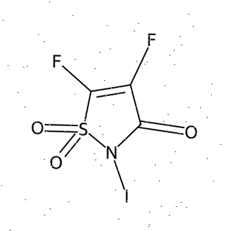 O=C1C(F)=C(F)S(=O)(=O)N1I